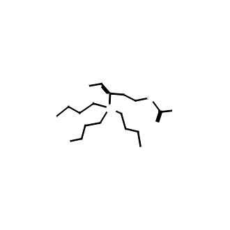 C/C=[C](/CCNC(C)=O)[Sn]([CH2]CCC)([CH2]CCC)[CH2]CCC